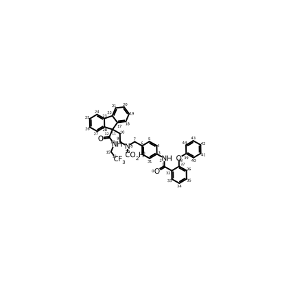 O=C(Nc1ccc(CN(CCC2(C(=O)NCC(F)(F)F)c3ccccc3-c3ccccc32)C(=O)O)cc1)c1ccccc1Oc1ccccc1